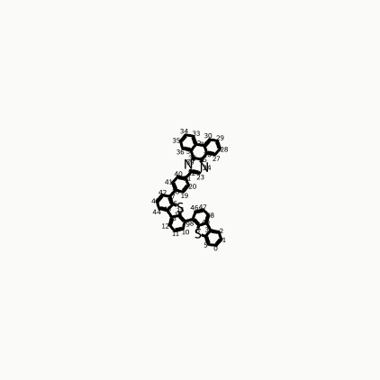 c1ccc2c(c1)sc1c(-c3cccc4c3sc3c(-c5ccc(-c6cnc7c8ccccc8c8ccccc8c7n6)cc5)cccc34)cccc12